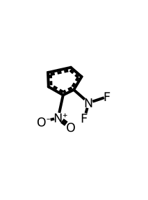 O=[N+]([O-])c1ccccc1N(F)F